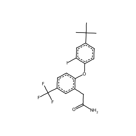 CC(C)(C)c1ccc(Oc2ccc(C(F)(F)F)cc2CC(N)=O)c(I)c1